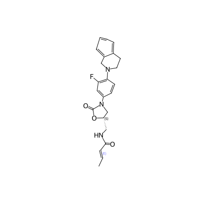 C/C=C/C(=O)NC[C@H]1CN(c2ccc(N3CCc4ccccc4C3)c(F)c2)C(=O)O1